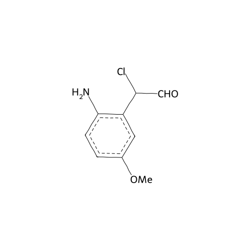 COc1ccc(N)c(C(Cl)C=O)c1